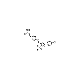 O=C(O)CCc1ccc(OCc2cc(-c3ccc(Cl)cc3)oc2C(F)(F)F)cc1